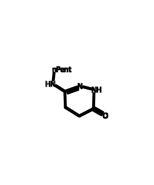 CCCCCNC1=NNC(=O)CC1